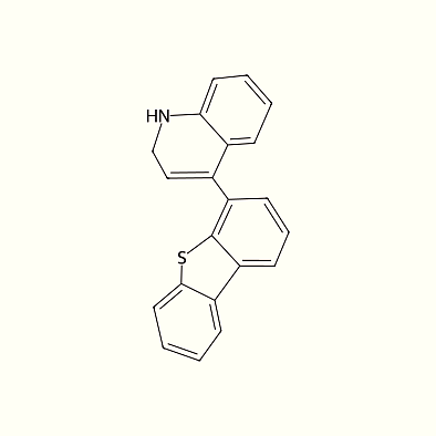 C1=C(c2cccc3c2sc2ccccc23)c2ccccc2NC1